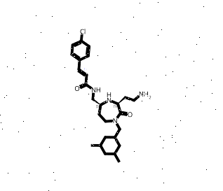 CC1CC(C)CC(CN2CC[C@@H](CNC(=O)/C=C/c3ccc(Cl)cc3)N[C@@H](CCN)C2=O)C1